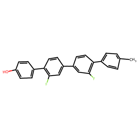 Cc1ccc(-c2ccc(-c3ccc(-c4ccc(O)cc4)c(F)c3)cc2F)cc1